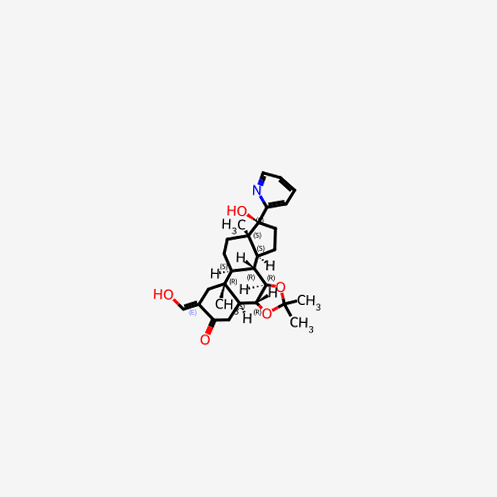 CC1(C)O[C@H]2[C@H](O1)[C@H]1CC(=O)/C(=C/O)C[C@]1(C)[C@H]1CC[C@@]3(C)[C@@H](CC[C@@]3(O)c3ccccn3)[C@H]21